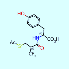 CC(=O)SC[C@@H](C(=O)N[C@@H](Cc1ccc(O)cc1)C(=O)O)C(F)(F)F